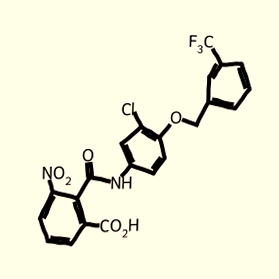 O=C(O)c1cccc([N+](=O)[O-])c1C(=O)Nc1ccc(OCc2cccc(C(F)(F)F)c2)c(Cl)c1